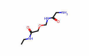 CCNC(=O)COCNC(=O)CN